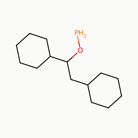 POC(CC1CCCCC1)C1CCCCC1